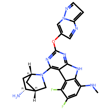 CNc1cc(F)c(F)c2c1[nH]c1nc(Oc3cnc4ccnn4c3)nc(N3C[C@H]4C[C@@H]3C[C@H]4N)c12